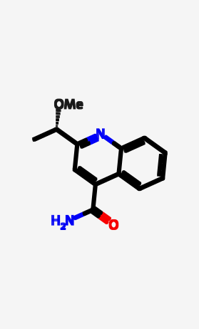 CO[C@@H](C)c1cc(C(N)=O)c2ccccc2n1